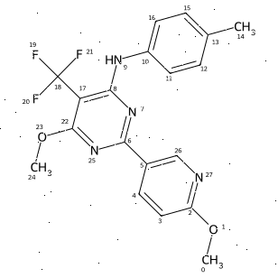 COc1ccc(-c2nc(Nc3ccc(C)cc3)c(C(F)(F)F)c(OC)n2)cn1